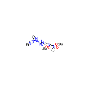 CCN1CCN(c2nc(NCc3cn(CCCN(CCCN(C(=O)OC(C)(C)C)C4CCCCC4)C(=O)OC(C)(C)C)nn3)nc3ccccc23)CC1